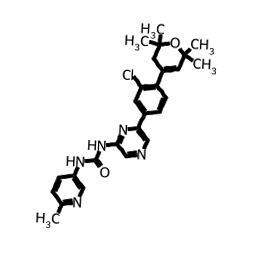 Cc1ccc(NC(=O)Nc2cncc(-c3ccc(C4=CC(C)(C)OC(C)(C)C4)c(Cl)c3)n2)cn1